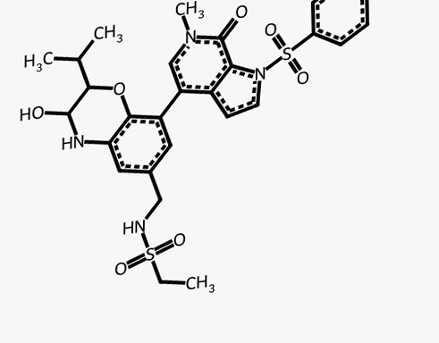 CCS(=O)(=O)NCc1cc2c(c(-c3cn(C)c(=O)c4c3ccn4S(=O)(=O)c3ccc(C)cc3)c1)OC(C(C)C)C(O)N2